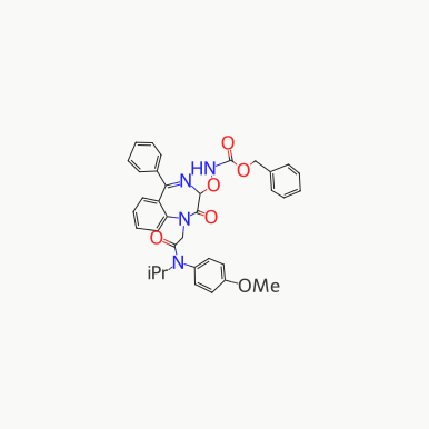 COc1ccc(N(C(=O)CN2C(=O)C(ONC(=O)OCc3ccccc3)N=C(c3ccccc3)c3ccccc32)C(C)C)cc1